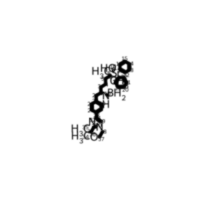 BNC(CCCC(C)(C)[Si](O)(c1ccccc1)c1ccccc1)Cc1ccc(-c2cn3c(n2)C(C)(C)OCC3)cc1